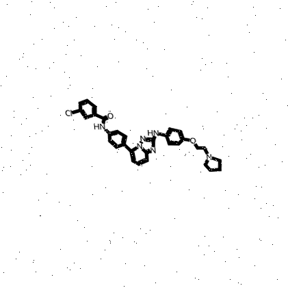 O=C(Nc1ccc(-c2cccc3nc(Nc4ccc(OCCN5CCCC5)cc4)nn23)cc1)c1cccc(Cl)c1